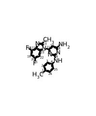 Cc1ccc(Nc2nc(N)cc(-n3c(C)nc4c(F)cc(F)cc43)n2)cc1